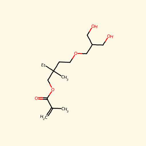 C=C(C)C(=O)OCC(C)(CC)CCOCC(CO)CO